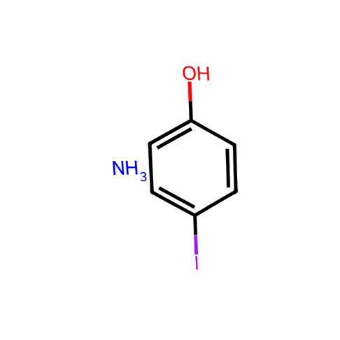 N.Oc1ccc(I)cc1